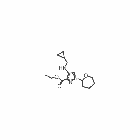 CCOC(=O)c1nn(C2CCCCO2)cc1NCC1CC1